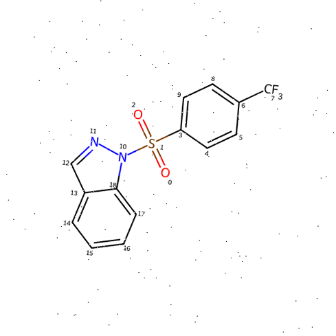 O=S(=O)(c1ccc(C(F)(F)F)cc1)n1ncc2ccccc21